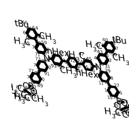 CCCCCCC1CC(C2CCC(N(C3=CCC(C4C=CC(B5OC(C)(C)C(C)(C)O5)=CC4)C=C3)c3ccc(-c4c(C)cc(C(C)(C)C)cc4C)cc3)C=C2C)C(CCCCCC)C=C1C1CC=C(N(c2ccc(C3C(C)=CC(C(C)(C)C)=CC3C)cc2)C2C=CC(c3ccc(B4OC(C)(C)C(C)(C)O4)cc3)=CC2)C=C1C